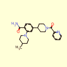 CC1CCN(c2cc(C3CCN(C(=O)c4ccccn4)CC3)ccc2C(N)=O)CC1